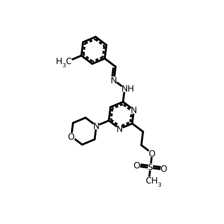 Cc1cccc(C=NNc2cc(N3CCOCC3)nc(CCOS(C)(=O)=O)n2)c1